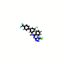 CN(c1cc(F)cc(-c2ccc(C(F)F)cc2)c1)c1nc2nnc(Cl)n2c2ccccc12